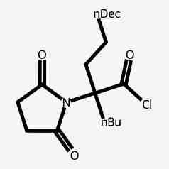 CCCCCCCCCCCCC(CCCC)(C(=O)Cl)N1C(=O)CCC1=O